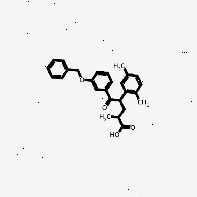 Cc1ccc(C)c(C(CC(C)C(=O)O)C(=O)c2cccc(OCc3ccccc3)c2)c1